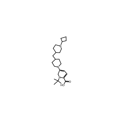 CC(C)(C)N1CC(N2CCC(CC3CCN(C4CCC4)CC3)CC2)=CC=C1C(=O)O